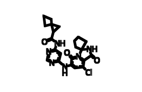 O=C1NC2(CCCC2)n2c1c(Cl)cc(Nc1cc(NC(=O)C3CC34CCC4)ncn1)c2=O